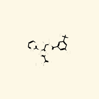 C[C@@H](NC(=O)c1cc(Cl)cc(C(F)(F)F)c1)c1nc(C(N)=O)nn1-c1ncccn1